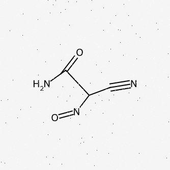 N#CC(N=O)C(N)=O